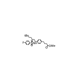 COC(=O)CCCc1ccc(C(CCCCC(C)(C)C)NS(=O)(=O)c2ccc(F)cc2)cc1